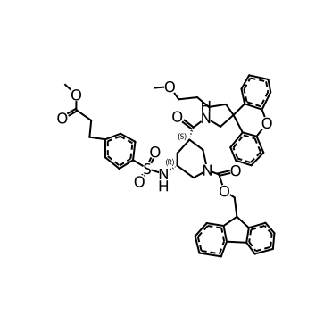 COCCCCC1(CNC(=O)[C@H]2C[C@@H](NS(=O)(=O)c3ccc(CCC(=O)OC)cc3)CN(C(=O)OCC3c4ccccc4-c4ccccc43)C2)c2ccccc2Oc2ccccc21